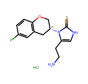 Cl.NCCc1c[nH]c(=S)n1[C@H]1COc2ccc(F)cc2C1